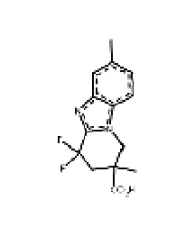 Cc1ccc2c(c1)nc1n2CC(C)(C(=O)O)CC1(F)F